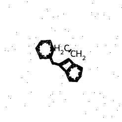 C1=C(Cc2ccccc2)c2ccccc21.C=C